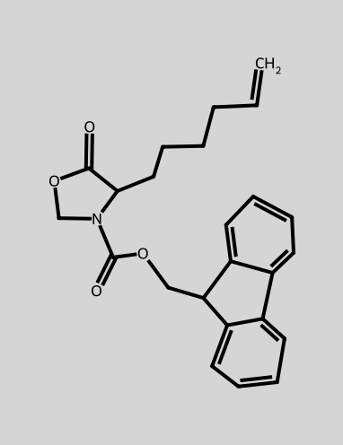 C=CCCCCC1C(=O)OCN1C(=O)OCC1c2ccccc2-c2ccccc21